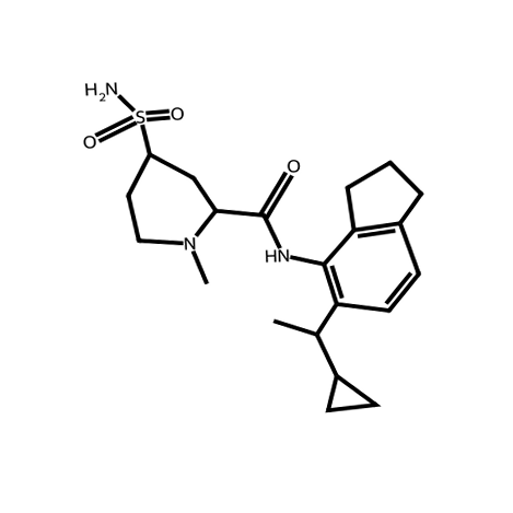 CC(c1ccc2c(c1NC(=O)C1CC(S(N)(=O)=O)CCN1C)CCC2)C1CC1